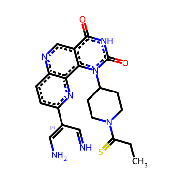 CCC(=S)N1CCC(n2c(=O)[nH]c(=O)c3cnc4ccc(/C(C=N)=C/N)nc4c32)CC1